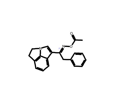 CC(=O)O/N=C(\Cc1ccccc1)c1cn2c3c(cccc13)CC2